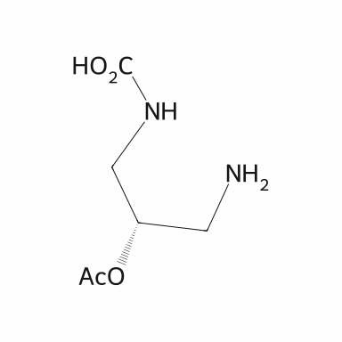 CC(=O)O[C@@H](CN)CNC(=O)O